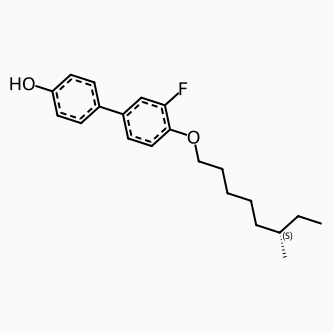 CC[C@H](C)CCCCCOc1ccc(-c2ccc(O)cc2)cc1F